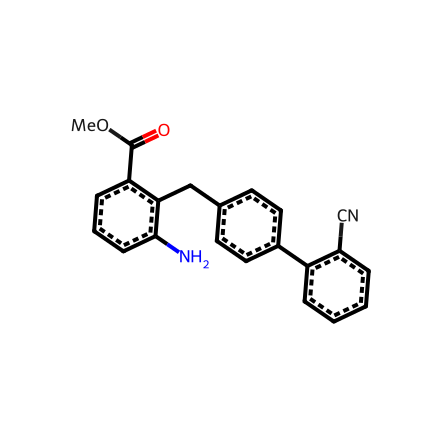 COC(=O)c1cccc(N)c1Cc1ccc(-c2ccccc2C#N)cc1